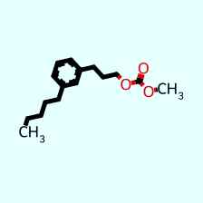 CCCCCc1cccc(CCCOC(=O)OC)c1